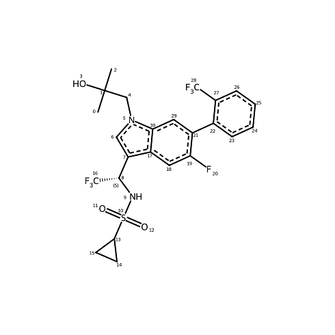 CC(C)(O)Cn1cc([C@H](NS(=O)(=O)C2CC2)C(F)(F)F)c2cc(F)c(-c3ccccc3C(F)(F)F)cc21